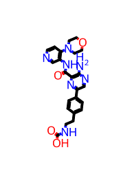 Nc1ncc(-c2ccc(CCNC(=O)O)cc2)nc1C(=O)Nc1cnccc1N1CCOCC1